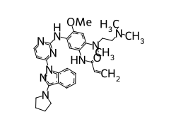 C=CC(=O)Nc1cc(Nc2nccc(-n3nc(N4CCCC4)c4ccccc43)n2)c(OC)cc1N(C)CCN(C)C